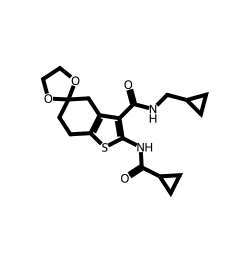 O=C(NCC1CC1)c1c(NC(=O)C2CC2)sc2c1CC1(CC2)OCCO1